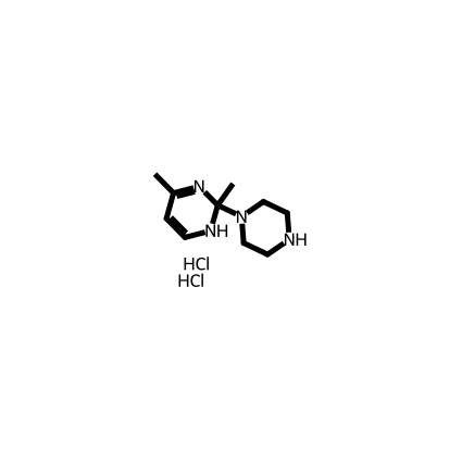 CC1=NC(C)(N2CCNCC2)NC=C1.Cl.Cl